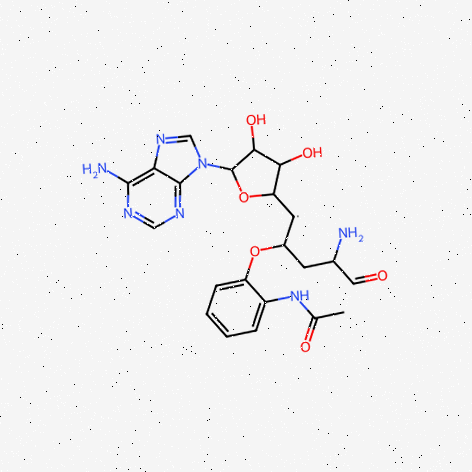 CC(=O)Nc1ccccc1OC([CH]C1OC(n2cnc3c(N)ncnc32)C(O)C1O)CC(N)C=O